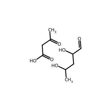 CC(=O)CC(=O)O.CC(O)CC(O)C=O